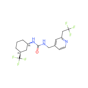 O=C(NCc1ccnc(CC(F)(F)F)c1)N[C@@H]1CCC[C@H](C(F)(F)F)C1